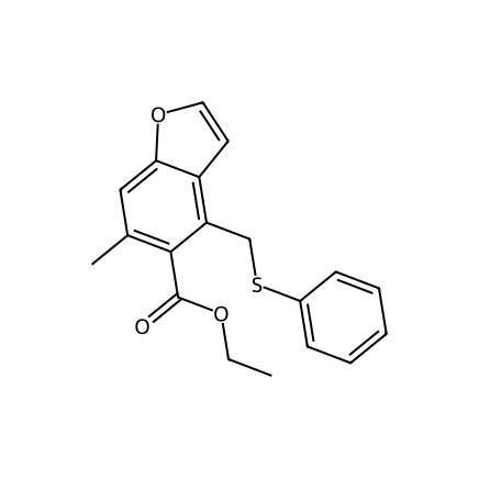 CCOC(=O)c1c(C)cc2occc2c1CSc1ccccc1